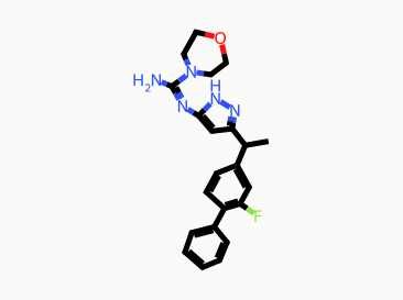 CC(c1ccc(-c2ccccc2)c(F)c1)c1cc(N=C(N)N2CCOCC2)[nH]n1